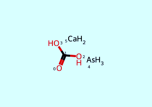 O=C(O)O.[AsH3].[CaH2]